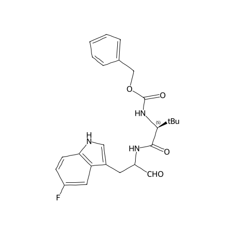 CC(C)(C)[C@H](NC(=O)OCc1ccccc1)C(=O)NC(C=O)Cc1c[nH]c2ccc(F)cc12